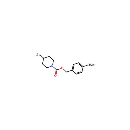 COc1ccc(COC(=O)N2CCC(C(C)(C)C)CC2)cc1